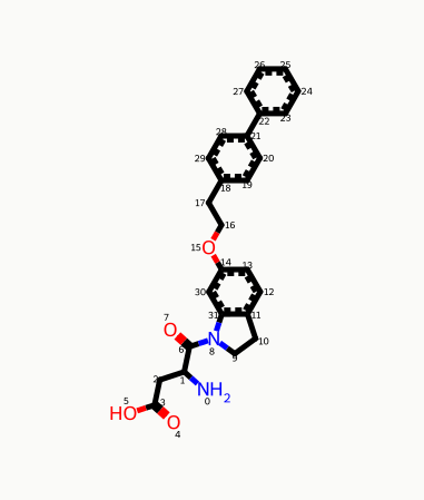 NC(CC(=O)O)C(=O)N1CCc2ccc(OCCc3ccc(-c4ccccc4)cc3)cc21